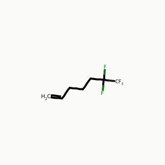 C=CCCCC(F)(F)C(F)(F)F